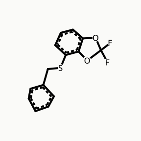 FC1(F)Oc2cccc(SCc3ccccc3)c2O1